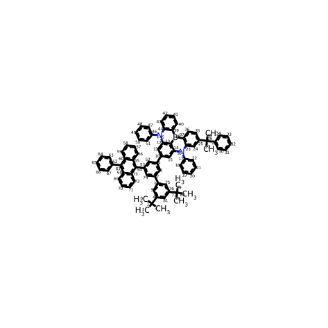 CC(C)(C)c1cc(-c2cc(-c3cc4c5c(c3)N(c3ccccc3)c3cc(C(C)(C)c6ccccc6)ccc3B5c3ccccc3N4c3ccccc3)cc(-c3c4ccccc4c(-c4ccccc4)c4ccccc34)c2)cc(C(C)(C)C)c1